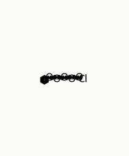 ClOCCOCCOCCOCCOc1ccccc1